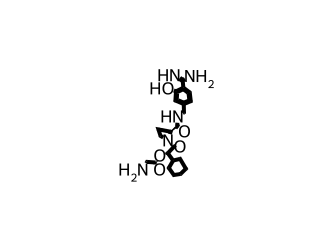 N=C(N)c1ccc(CNC(=O)[C@@H]2CCN2C(=O)[C@H](OC(=O)CN)C2CCCCC2)cc1O